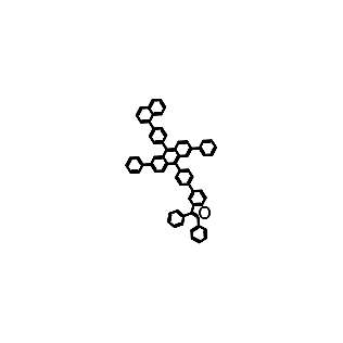 c1ccc(-c2ccc3c(-c4ccc(-c5cccc6ccccc56)cc4)c4cc(-c5ccccc5)ccc4c(-c4ccc(-c5ccc6oc(-c7ccccc7)c(-c7ccccc7)c6c5)cc4)c3c2)cc1